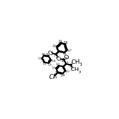 CC(C)C(C(=O)OC(Oc1ccccc1)c1ccccc1)c1ccc(Cl)cc1